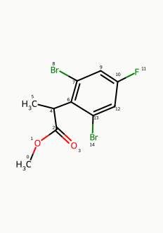 COC(=O)C(C)c1c(Br)cc(F)cc1Br